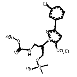 CCOC(=O)c1cc(-c2cccc(Cl)c2)nn1C(CNC(=O)OC(C)(C)C)CO[Si](C)(C)C(C)(C)C